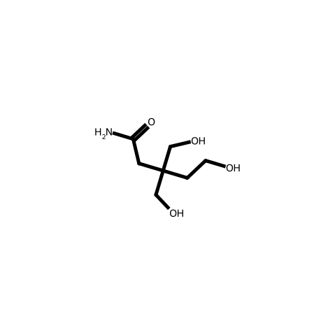 NC(=O)CC(CO)(CO)CCO